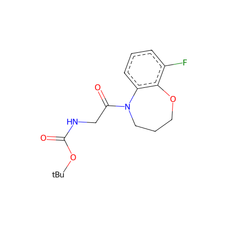 CC(C)(C)OC(=O)NCC(=O)N1CCCOc2c(F)cccc21